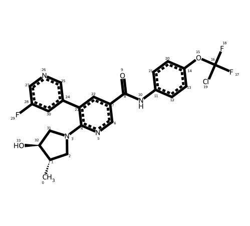 C[C@H]1CN(c2ncc(C(=O)Nc3ccc(OC(F)(F)Cl)cc3)cc2-c2cncc(F)c2)C[C@@H]1O